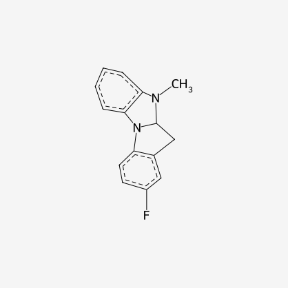 CN1c2ccccc2N2c3ccc(F)cc3CC12